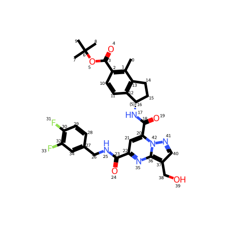 Cc1c(C(=O)OC(C)(C)C)ccc2c1CC[C@@H]2NC(=O)c1cc(C(=O)NCc2ccc(F)c(F)c2)nc2c(CO)cnn12